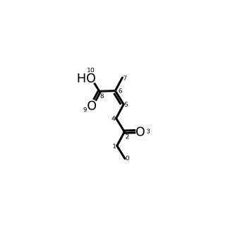 CCC(=O)CC=C(C)C(=O)O